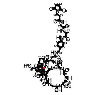 CC[C@H](C)[C@@H]1NC(=O)CNC(=O)[C@H]2Cc3c([nH]c4ccccc34)SC[C@H](NC(=O)CNC1=O)C(=O)N[C@@H](CC(=O)NCc1ccc(NC(=O)[C@H](C)NC(=O)CNC(=O)CCN3C(=O)C=CC3=O)cc1)C(=O)N1CCC[C@H]1N[C@@H]([C@@H](C)[C@@H](O)CO)C(=O)N2